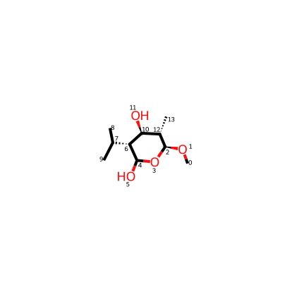 CO[C@H]1OC(O)[C@H](C(C)C)[C@@H](O)[C@@H]1C